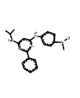 CC(C)Nc1cc(Nc2ccc([S+](C)[O-])cc2)nc(-c2ccccc2)n1